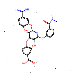 CN(C)C(=O)c1cccc(Oc2nc(Oc3cc(C(=N)N)ccc3O)c(F)c(Oc3ccc(C(=O)O)cc3O)c2F)c1